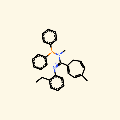 CCc1ccccc1/N=C(\C1=CC=C(C)C=CC1)N(C)P(c1ccccc1)c1ccccc1